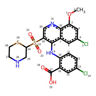 COc1cc(Cl)cc2c(Nc3ccc(Cl)cc3C(=O)O)c(S(=O)(=O)C3CNCCS3)cnc12